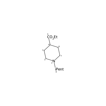 CCCC(C)N1CCC(C(=O)OCC)CC1